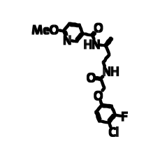 C=C(CCNC(=O)COc1ccc(Cl)c(F)c1)NC(=O)c1ccc(OC)nc1